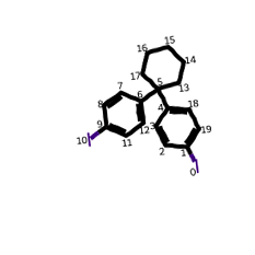 Ic1ccc(C2(c3ccc(I)cc3)CCCCC2)cc1